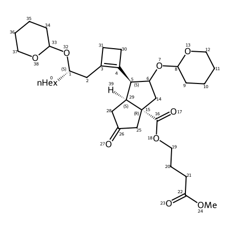 CCCCCC[C@@H](CC1=C([C@H]2C(OC3CCCCO3)C[C@@]3(C(=O)OCCCC(=O)OC)CC(=O)C[C@@H]23)CC1)OC1CCCCO1